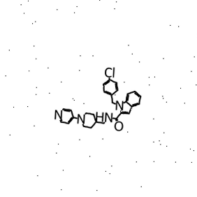 O=C(NCC1CCN(c2ccncc2)CC1)c1cc2ccccc2n1Cc1ccc(Cl)cc1